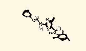 Cc1cc(C)c(NC(=O)c2sc(NC(=O)Oc3ccccc3)nc2C)c(C)c1